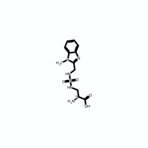 Cn1c(CNS(=O)(=O)NC[C@H](N)C(=O)O)nc2ccccc21